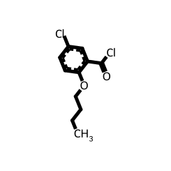 CCCCOc1ccc(Cl)cc1C(=O)Cl